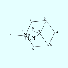 CN1CC2CC(C1)C2(C)N